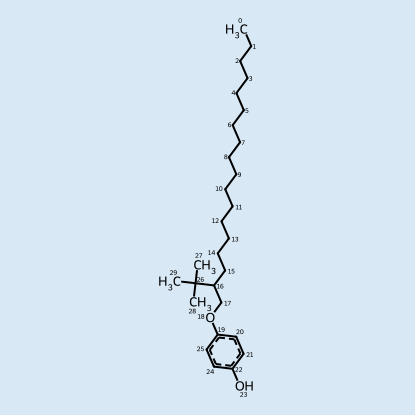 CCCCCCCCCCCCCCCCC(COc1ccc(O)cc1)C(C)(C)C